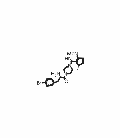 CNC1=C(C(=N)N2CCN(C(=O)[C@H](N)Cc3ccc(Br)cc3)CC2)[C@H](C)CC1